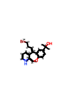 CC(C)(O)c1ccc2c(c1)/C(=C/CCBr)C1=CC=CNC1=CO2